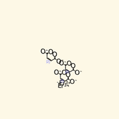 O=C([O-])/C=C\C(=O)[O-].O=C([O-])/C=C\C(=O)[O-].O=C([O-])/C=C\C(=O)[O-].[Er+3].[Er+3]